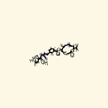 CC(/C=C/c1cccc(C(=O)O[C@H]2CCCC(=O)O[C@@H](C(C)C)C/C=C/C[C@@H]2C)c1)=C\[C@H](O)[C@@H](O)C[C@H](C)O